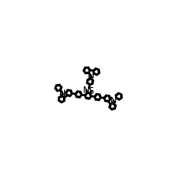 c1ccc(-n2c3ccccc3c3cc(-c4ccc(-c5ccc(-c6ccc(-c7ccc8c(c7)c7ccccc7n8-c7ccccc7)cc6)c6sc(-c7ccc(-n8c9ccccc9c9ccccc98)cc7)nc56)cc4)ccc32)cc1